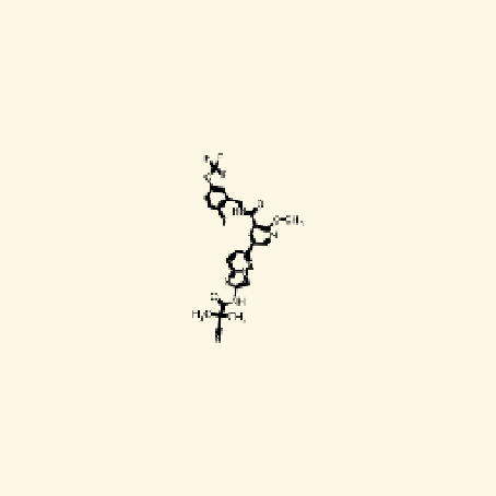 COc1ncc(-c2ccc3nc(NC(=O)C(C)(C)C#N)cn3n2)cc1C(=O)NCc1cc(OC(F)(F)F)ccc1F